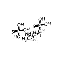 CC.CC.N.OP(O)(O)=S.OP(O)(O)=S